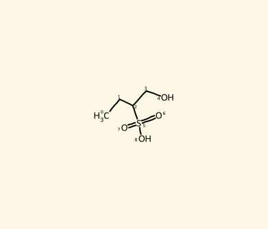 CCC(CO)S(=O)(=O)O